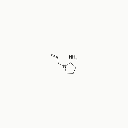 C=CCN1CCCC1.N